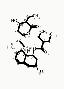 CCC(CC)C(=O)O[C@H]1C[C@@H](C)C=C2C=C[C@H](C)[C@H](CC[C@@H]3C[C@@H](O)C(CC)C(=O)O3)[C@H]21